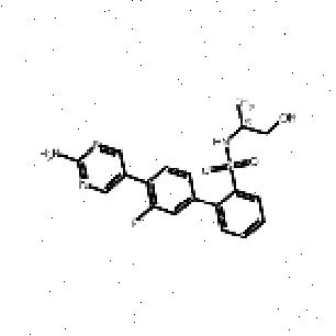 C[C@@H](CO)NS(=O)(=O)c1ccccc1-c1ccc(-c2cnc(N)nc2)c(F)c1